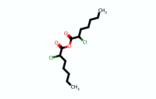 CCCCCC(Cl)C(=O)OC(=O)C(Cl)CCCCC